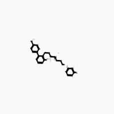 Cc1cccc(OCCCC(=O)C2CCc3c(cccc3-c3ccc(CO)cc3)N2)c1C